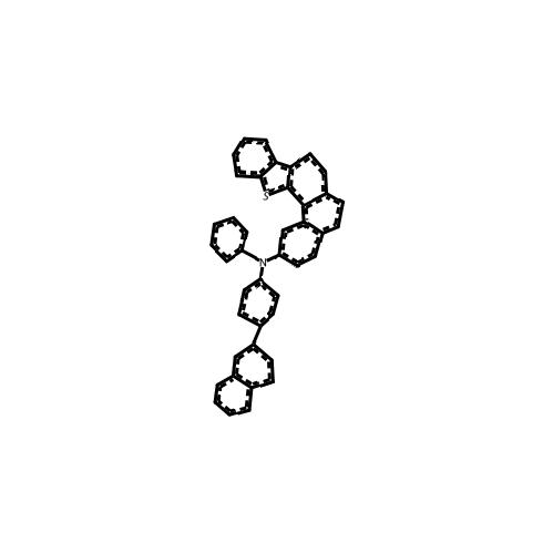 c1ccc(N(c2ccc(-c3ccc4ccccc4c3)cc2)c2ccc3ccc4ccc5c6ccccc6sc5c4c3c2)cc1